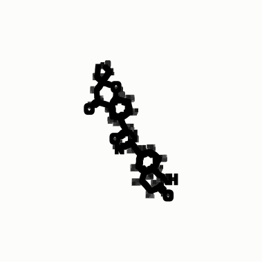 CCC1(CC)CC(=O)c2cc(-c3nc(-c4ccc5c(c4)CCC(=O)N5)no3)ccc2O1